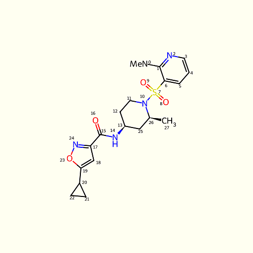 CNc1ncccc1S(=O)(=O)N1CC[C@H](NC(=O)c2cc(C3CC3)on2)C[C@@H]1C